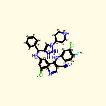 N#Cc1cnc2c(Cl)cc(NC(C3=CN(C4CCNCC4)NN3)c3ccccc3)cc2c1Nc1ccc(F)c(Cl)c1